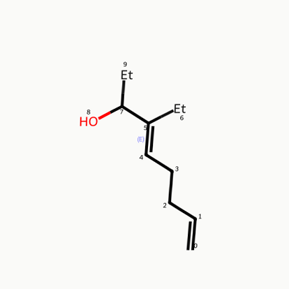 C=CCC/C=C(\CC)C(O)CC